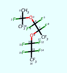 CC(F)(OC(F)(F)C(F)(OC(F)(F)C(F)(F)C(F)(F)F)C(F)(F)F)C(F)(F)F